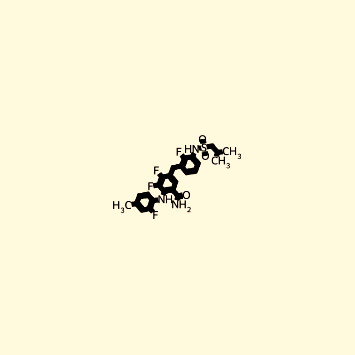 Cc1ccc(Nc2c(C(N)=O)cc(Cc3cccc(NS(=O)(=O)CC(C)C)c3F)c(F)c2F)c(F)c1